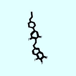 CCCC1CCC(c2cc(F)c(CCc3ccc4c(F)c(F)c(F)cc4c3)c(F)c2)CC1